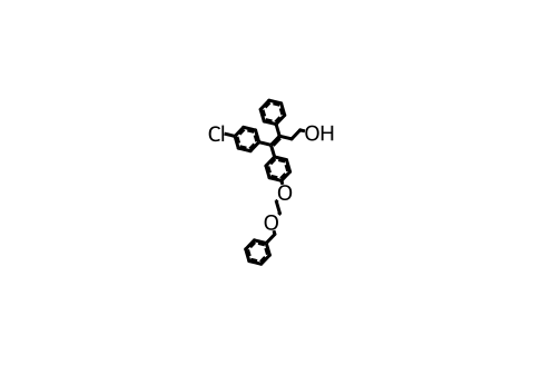 OCCC(=C(c1ccc(Cl)cc1)c1ccc(OCCOCc2ccccc2)cc1)c1ccccc1